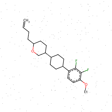 C=CCCC1CCC(C2CCC(c3ccc(OCC)c(F)c3F)CC2)CO1